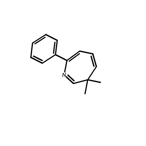 CC1(C)C=CC=C(c2ccccc2)N=C1